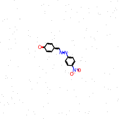 O=C1C=CC(=CN=Nc2ccc([N+](=O)[O-])cc2)C=C1